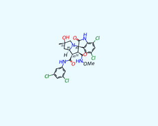 CONC(=O)[C@H]1[C@@H](C(=O)Nc2cc(Cl)cc(Cl)c2)[C@H]2C[C@](C)(O)CN2[C@]12C(=O)Nc1c(Cl)cc(Cl)cc12